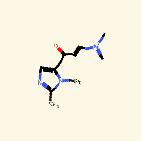 CC(C)n1c(C(=O)C=CN(C)C)cnc1C(F)(F)F